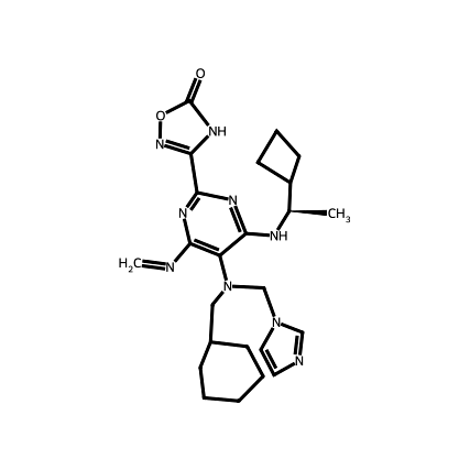 C=Nc1nc(-c2noc(=O)[nH]2)nc(N[C@H](C)C2CCC2)c1N(CC1CCCCC1)Cn1ccnc1